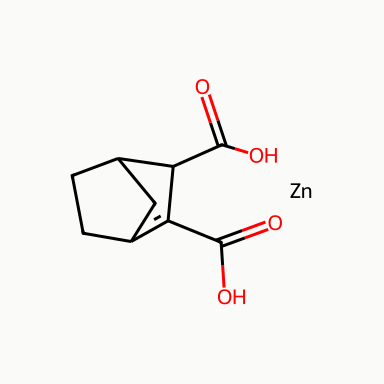 O=C(O)C1=C2CCC(C2)C1C(=O)O.[Zn]